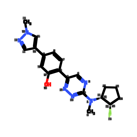 CN(c1ncc(-c2ccc(-c3cnn(C)c3)cc2O)nn1)[C@@H]1CCC[C@@H]1F